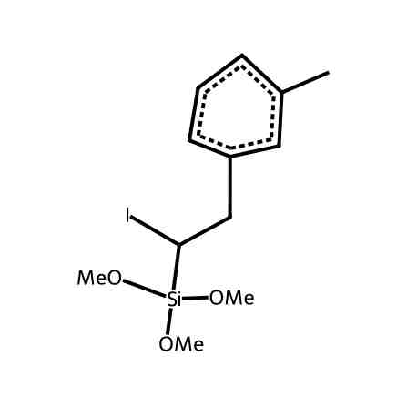 CO[Si](OC)(OC)C(I)Cc1cccc(C)c1